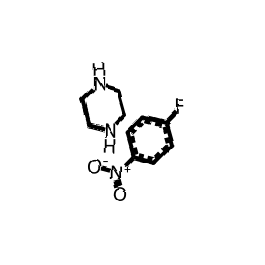 C1CNCCN1.O=[N+]([O-])c1ccc(F)cc1